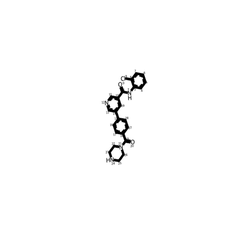 O=C(Nc1ccccc1Cl)c1cncc(-c2ccc(C(=O)N3CCNCC3)cc2)c1